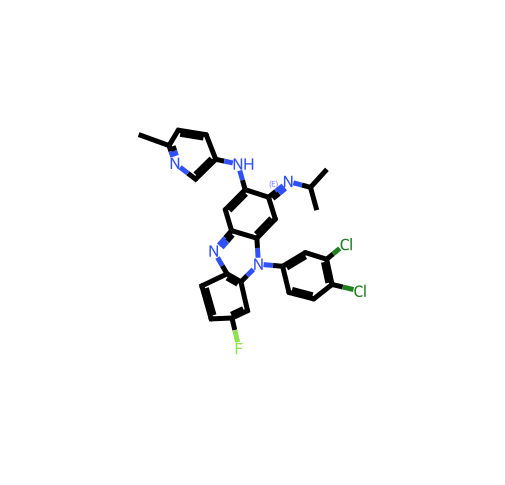 Cc1ccc(Nc2cc3nc4ccc(F)cc4n(-c4ccc(Cl)c(Cl)c4)c-3c/c2=N\C(C)C)cn1